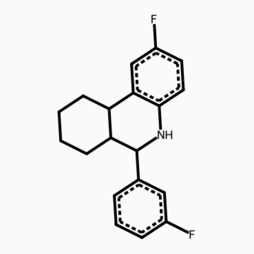 Fc1cccc(C2Nc3ccc(F)cc3C3CCCCC32)c1